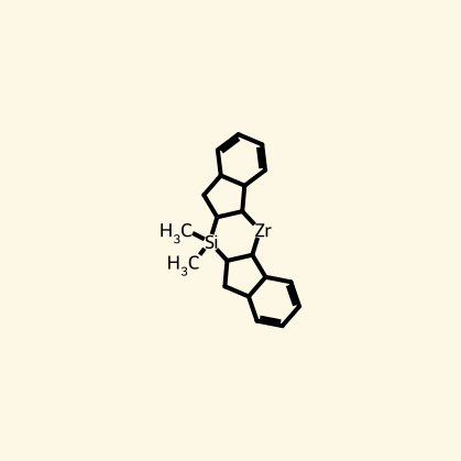 C[Si]1(C)C2CC3C=CC=CC3[CH]2[Zr][CH]2C3C=CC=CC3CC21